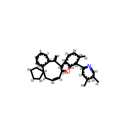 C=C1c2ccccc2C2(C/C=C\c3oc4c(-c5cc(C)c(C)cn5)c(C)ccc4c31)CCCC2